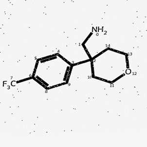 NCC1(c2ccc(C(F)(F)F)cc2)CCOCC1